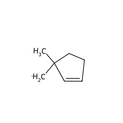 [CH2]C1(C)C=CCC1